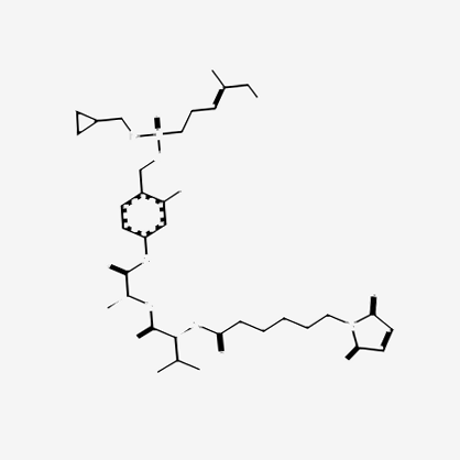 C/C(=C\CCP(=O)(NCC1CC1)OCc1ccc(NC(=O)[C@H](C)NC(=O)[C@@H](NC(=O)CCCCCN2C(=O)C=CC2=O)C(C)C)cc1F)CO